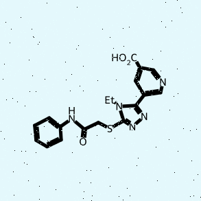 CCn1c(SCC(=O)Nc2ccccc2)nnc1-c1cncc(C(=O)O)c1